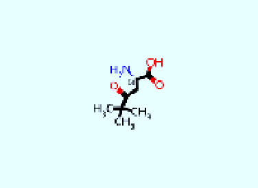 CC(C)(C)C(=O)C[C@H](N)C(=O)O